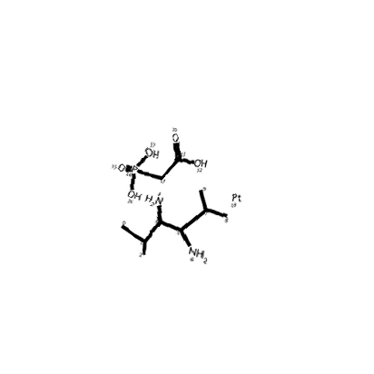 CC(C)C(N)C(N)C(C)C.O=C(O)CP(=O)(O)O.[Pt]